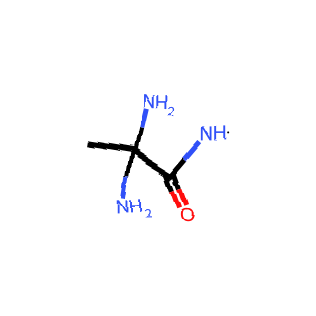 CC(N)(N)C([NH])=O